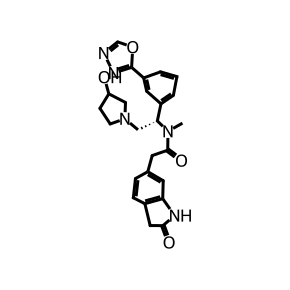 CN(C(=O)Cc1ccc2c(c1)NC(=O)C2)[C@H](CN1CCC(O)C1)c1cccc(-c2nnco2)c1